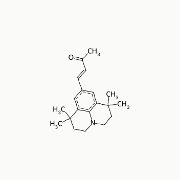 CC(=O)/C=C/c1cc2c3c(c1)C(C)(C)CCN3CCC2(C)C